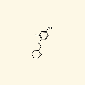 Cc1cc(N)ccc1OCC1CCCCO1